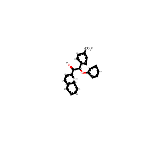 O=C(O)c1ccc(C(Oc2ccccc2)C(=O)c2ccc3ccccc3c2)cc1